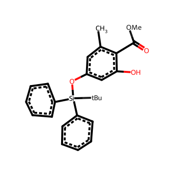 COC(=O)c1c(C)cc(O[Si](c2ccccc2)(c2ccccc2)C(C)(C)C)cc1O